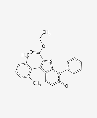 CCOC(=O)c1sc2c(ccc(=O)n2-c2ccccc2)c1-c1c(C)cccc1C